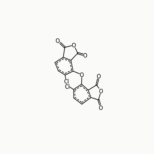 O=C1OC(=O)c2c1ccc(Cl)c2Oc1c(Cl)ccc2c1C(=O)OC2=O